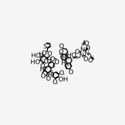 COc1cc([C@@H]2c3cc4c(cc3[C@@H](O[C@@H]3O[C@@H]5COC(c6cccs6)O[C@H]5[C@H](O)[C@H]3O)[C@H]3COC(=O)[C@H]23)OCO4)cc(OC)c1O.C[C@]12C=CC(=O)C=C1CC[C@@H]1[C@@H]2CC[C@]2(C)OC(=O)CC[C@@H]12.O=c1n(C[C@H]2CO2)c(=O)n(C[C@@H]2CO2)c(=O)n1C[C@H]1CO1